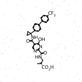 C[C@H](CNC(=O)c1ncc(C(=O)NC2(c3ccc(-c4ccc(C(F)(F)F)cc4)cc3)CC2)c(O)n1)C(=O)O